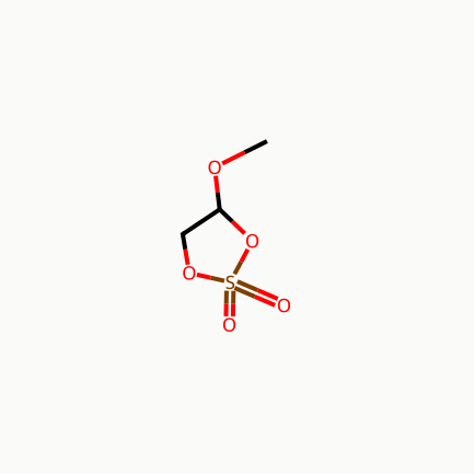 COC1COS(=O)(=O)O1